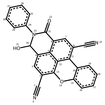 N#Cc1cc2c3c(cc(C#N)c4c3c1Oc1ccccc1-4)C(=O)N(c1ccccc1)C2O